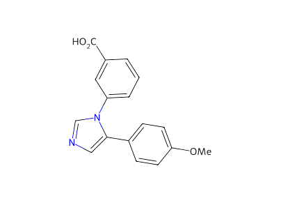 COc1ccc(-c2cncn2-c2cccc(C(=O)O)c2)cc1